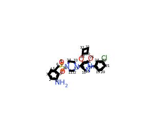 Nc1cccc(CS(=O)(=O)N2CCN(c3cnn(-c4cccc(Cl)c4)c(=O)c3OC3CCC3)CC2)c1